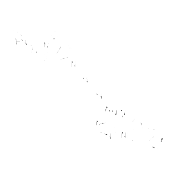 Nc1ncnc2c1c(-c1ccc(Oc3ccccc3)cc1)nn2N1CCN(C2CN(C3CN(c4ccc5c(c4)C(=O)N(C4CCC(=O)NC4=O)C5=O)C3)C2)CC1